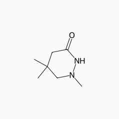 CN1CC(C)(C)CC(=O)N1